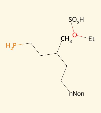 CCCCCCCCCCCC(C)CCP.CCOS(=O)(=O)O